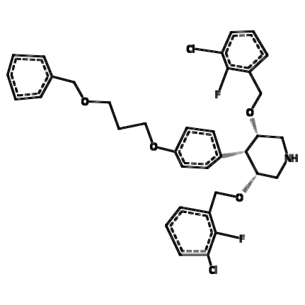 Fc1c(Cl)cccc1CO[C@H]1CNC[C@@H](OCc2cccc(Cl)c2F)[C@H]1c1ccc(OCCCOCc2ccccc2)cc1